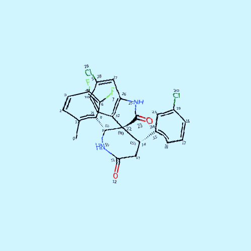 Cc1ccc(F)c(F)c1[C@H]1NC(=O)C[C@@H](c2cccc(Cl)c2)[C@]12C(=O)Nc1cc(Cl)ccc12